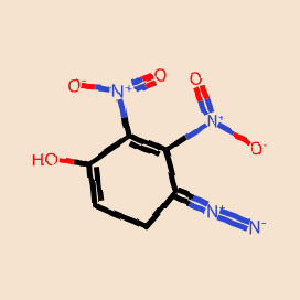 [N-]=[N+]=C1CC=C(O)C([N+](=O)[O-])=C1[N+](=O)[O-]